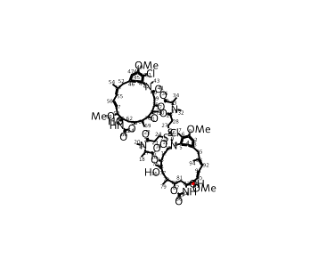 COc1cc2cc(c1Cl)N(C)C(=O)CC(OC(=O)C(C)N(C)C(=O)CCSSCCC(=O)N(C)C(C)C(=O)OC1CC(=O)N(C)c3cc(cc(OC)c3Cl)C/C(C)=C/C=C/C(OC)C3(O)CC(OC(=O)N3)C(C)C3OC13C)C(C)(O)CC(C)C1CC(O)(NC(=O)O1)C(OC)/C=C/C=C(\C)C2